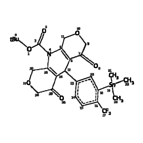 CC(C)(C)OC(=O)N1C2=C(C(=O)COC2)C(c2ccc(C(F)(F)F)[c]([Sn]([CH3])([CH3])[CH3])c2)C2=C1COCC2=O